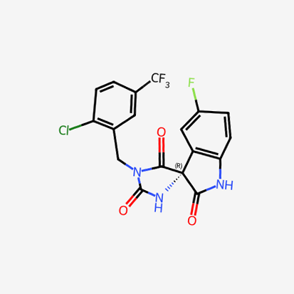 O=C1N[C@]2(C(=O)Nc3ccc(F)cc32)C(=O)N1Cc1cc(C(F)(F)F)ccc1Cl